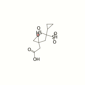 O=C(O)CC1(CC(C2CC2)([SH](=O)=O)[SH](=O)=O)CC1